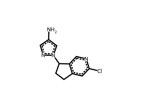 Nc1cnn(C2CCc3cc(Cl)ncc32)c1